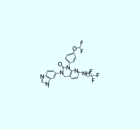 Cn1cnc2ccc(N3Cc4ccc(NCC(F)(F)F)nc4N(c4ccc(OC(F)F)cc4)C3=O)cc21